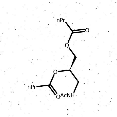 CCCC(=O)OC[C@@H](CNC(C)=O)OC(=O)CCC